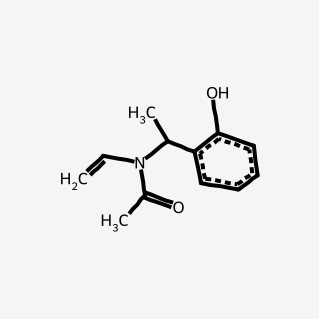 C=CN(C(C)=O)C(C)c1ccccc1O